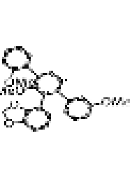 COc1cccc(-c2[c]cc(-c3ccccc3OC)c(OC)c2-c2cccc3c2OCO3)c1